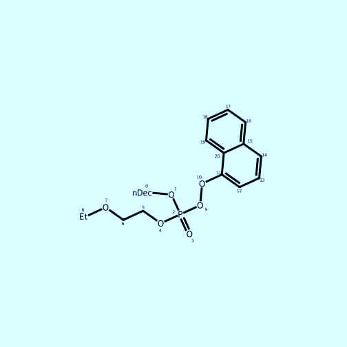 CCCCCCCCCCOP(=O)(OCCOCC)OOc1cccc2ccccc12